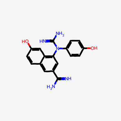 N=C(N)c1cc(N(C(=N)N)c2ccc(O)cc2)c2cc(O)ccc2c1